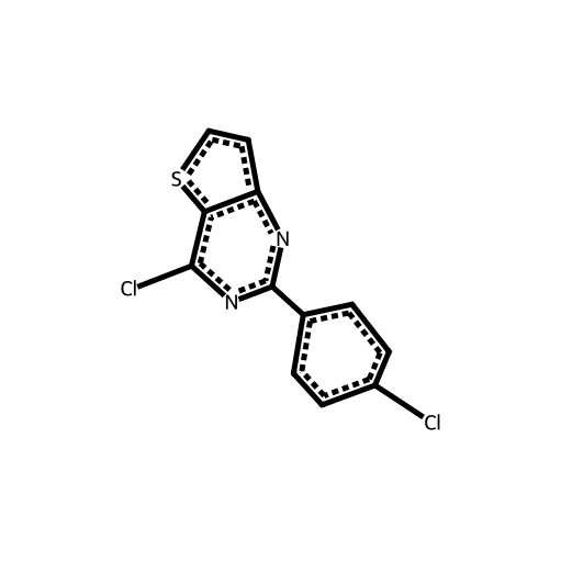 Clc1ccc(-c2nc(Cl)c3sccc3n2)cc1